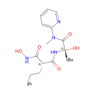 CC(C)CC[C@H](C(=O)NO)C(=O)N[C@@](O)(C(=O)N(C)c1ccccn1)C(C)(C)C